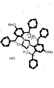 COc1cc([C@H](C)c2ccccc2)c(N2CCN(c3c([C@H](C)c4ccccc4)cc(OC)cc3[C@H](C)c3ccccc3)C2)c([C@H](C)c2ccccc2)c1.Cl